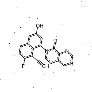 C#Cc1c(F)ccc2cc(O)cc(-n3ccc4cncnc4c3=O)c12